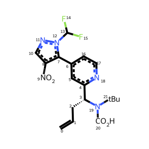 C=CC[C@H](c1cc(-c2c([N+](=O)[O-])cnn2C(F)F)ccn1)N(C(=O)O)C(C)(C)C